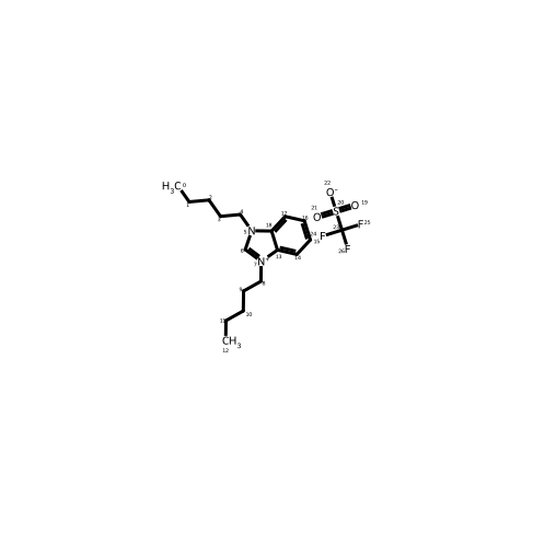 CCCCCn1c[n+](CCCCC)c2ccccc21.O=S(=O)([O-])C(F)(F)F